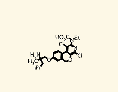 CCN(C(=O)O)c1nc(Cl)c2c(c1Cl)-c1ccc(OCC(C)(N)CC(C)C)cc1CO2